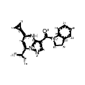 O=C(c1cnn2c1NC(=C1C=C1)C=C2C(F)F)N1CCc2ccccc21